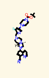 C[C@@H]1CN(c2ccc(C#N)c3ncccc23)C[C@@H]2CCN(Cc3ncc(N4CCN(C(=O)OC(C)(C)C)CC4)cc3F)CCN21